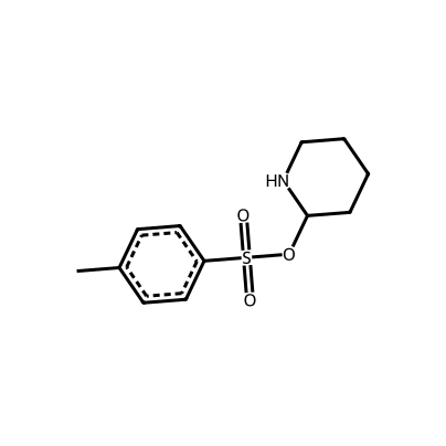 Cc1ccc(S(=O)(=O)OC2CCCCN2)cc1